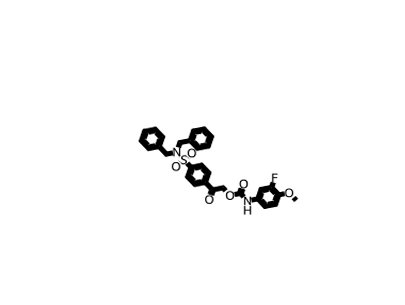 COc1ccc(NC(=O)OCC(=O)c2ccc(S(=O)(=O)N(Cc3ccccc3)Cc3ccccc3)cc2)cc1F